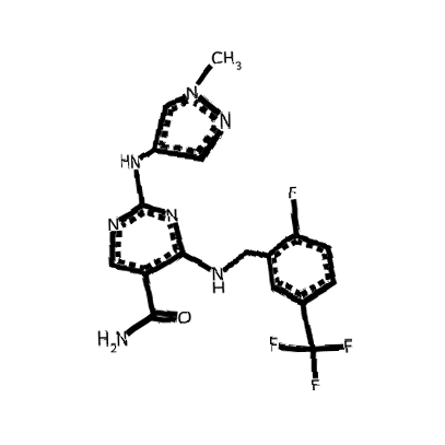 Cn1cc(Nc2ncc(C(N)=O)c(NCc3cc(C(F)(F)F)ccc3F)n2)cn1